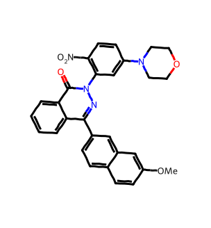 COc1ccc2ccc(-c3nn(-c4cc(N5CCOCC5)ccc4[N+](=O)[O-])c(=O)c4ccccc34)cc2c1